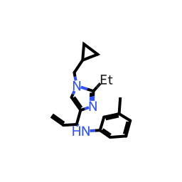 C=CC(Nc1cccc(C)c1)c1cn(CC2CC2)c(CC)n1